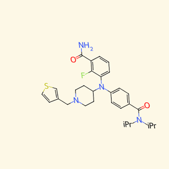 CC(C)N(C(=O)c1ccc(N(c2cccc(C(N)=O)c2F)C2CCN(Cc3ccsc3)CC2)cc1)C(C)C